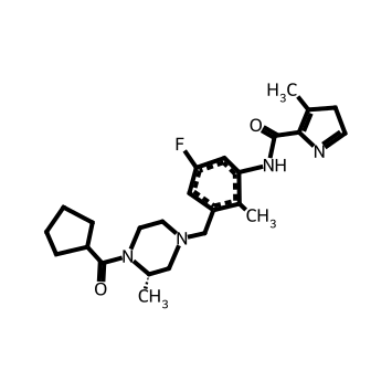 CC1=C(C(=O)Nc2cc(F)cc(CN3CCN(C(=O)C4CCCC4)[C@@H](C)C3)c2C)N=CC1